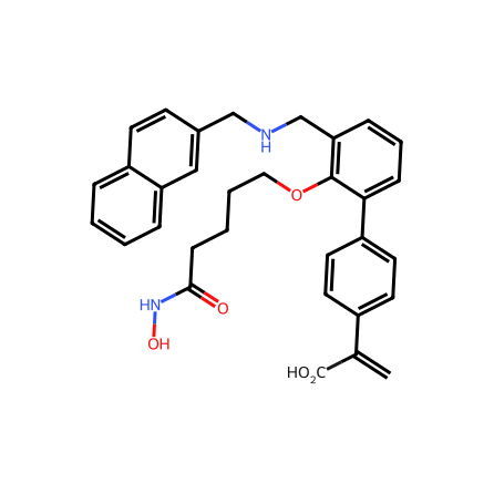 C=C(C(=O)O)c1ccc(-c2cccc(CNCc3ccc4ccccc4c3)c2OCCCCC(=O)NO)cc1